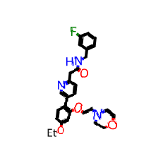 CCOc1ccc(-c2ccc(CC(=O)NCc3cccc(F)c3)nc2)c(OCCN2CCOCC2)c1